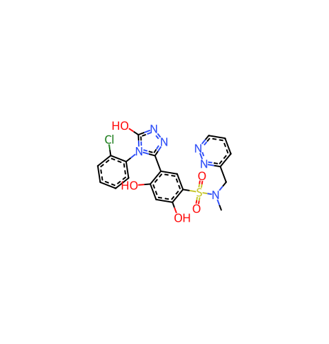 CN(Cc1cccnn1)S(=O)(=O)c1cc(-c2nnc(O)n2-c2ccccc2Cl)c(O)cc1O